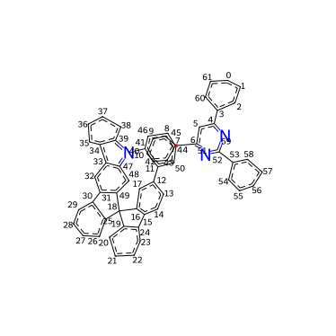 c1ccc(-c2cc(-c3cccc(-c4ccc5c(c4)C4(c6ccccc6-5)c5ccccc5-c5cc6c7ccccc7n(-c7ccccc7)c6cc54)c3)nc(-c3ccccc3)n2)cc1